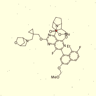 CCc1c(F)ccc2cc(OCOC)cc(-c3nc4c5c(nc(OCC6(CN7CC8CC7CO8)CC6)nc5c3F)N3CC5CCC(C3CO4)N5C(=O)OC(C)(C)C)c12